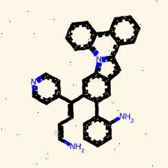 N/C=C\C=C(c1ccncc1)c1cc2c(cc1-c1ccccc1N)cc1c3ccccc3c3ccccc3n21